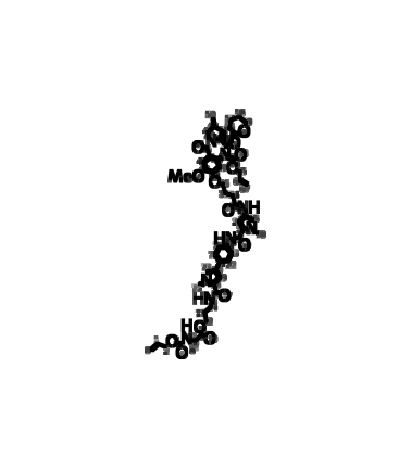 C=CCOC(=O)N[C@@H](C)C(=O)OCCCNC(=O)c1cc(-c2ccc(NC(=O)c3cc(NC(=O)CCCOc4cc5c(cc4OC)C(=O)N4CC(=C)C[C@H]4C(OC4CCCCO4)N5C(=O)OCC=C)cn3C)cc2)cn1C